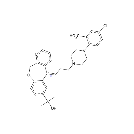 CC(C)(O)c1ccc2c(c1)/C(=C/CCN1CCN(c3ccc(Cl)cc3C(=O)O)CC1)c1cccnc1CO2